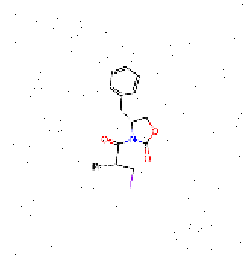 CC(C)C(CI)C(=O)N1C(=O)OC[C@H]1Cc1ccccc1